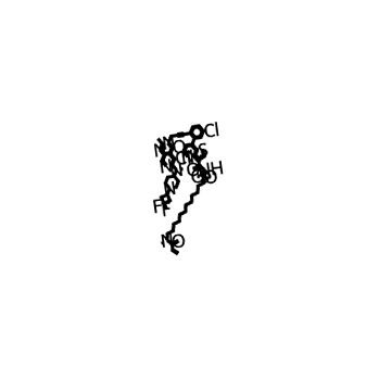 C=CC(=O)N(C)CCCCCCCCCCCCS(=O)(=O)NC(=O)c1csc2c(-c3cc(Cl)ccc3C#CCn3c(C)nc4cnc(N(C)C5CCN(C6CC(F)(F)C6)CC5)c(C#N)c4c3=O)ccnc12